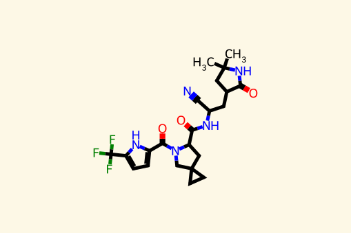 CC1(C)CC(CC(C#N)NC(=O)C2CC3(CC3)CN2C(=O)c2ccc(C(F)(F)F)[nH]2)C(=O)N1